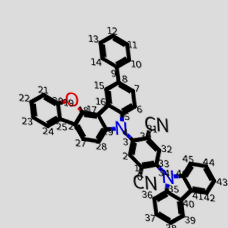 N#Cc1cc(-n2c3ccc(-c4ccccc4)cc3c3c4oc5ccccc5c4ccc32)c(C#N)cc1-n1c2ccccc2c2ccccc21